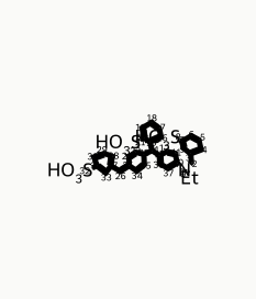 CCN(Cc1cccc(S(=O)(=O)O)c1)c1ccc(C(c2ccccc2S(=O)(=O)O)C2C=CC(=Cc3cccc(S(=O)(=O)O)c3)C=C2)cc1